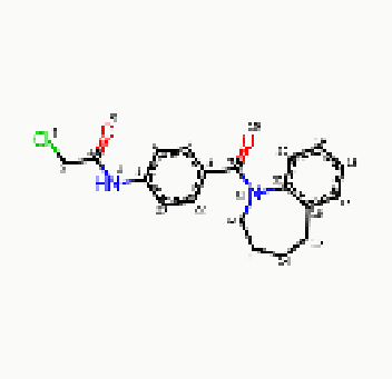 O=C(CCl)Nc1ccc(C(=O)N2CCCCc3ccccc32)cc1